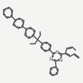 C=C/C=C(\C=C/C)c1nc(-c2ccccc2)nc(-c2ccc(C(CC)(CC)c3ccc(-c4ccc(-c5ccccc5)cc4)cc3)cc2)n1